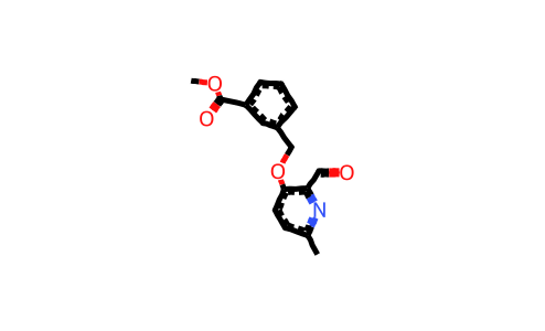 COC(=O)c1cccc(COc2ccc(C)nc2C=O)c1